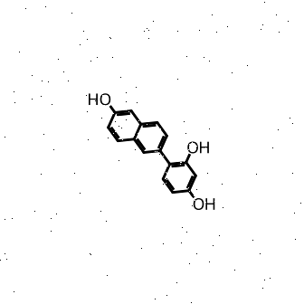 Oc1ccc(-c2ccc3cc(O)ccc3c2)c(O)c1